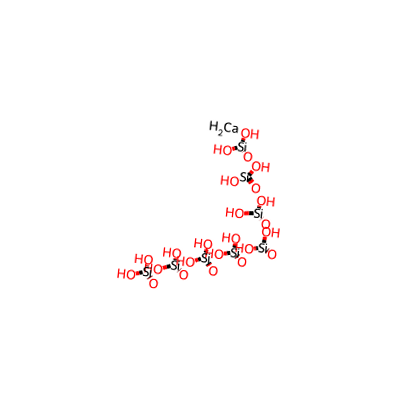 O=[Si](O)O.O=[Si](O)O.O=[Si](O)O.O=[Si](O)O.O=[Si](O)O.O=[Si](O)O.O=[Si](O)O.O=[Si](O)O.[CaH2]